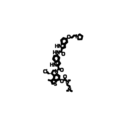 Cc1csc2c(OC(=O)N(C)CCN(C)C)cc3c(c12)[C@H](CCl)CN3C(=O)c1cc2cc(NC(=O)c3cc4cc(OCCN5CCCC5)ccc4[nH]3)ccc2[nH]1